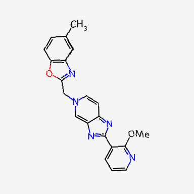 COc1ncccc1-c1nc2ccn(Cc3nc4cc(C)ccc4o3)cc-2n1